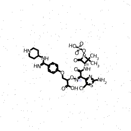 CC1(C)[C@H](NC(=O)/C(=N\OC(COc2ccc(C(=N)NC3CCNCC3)cc2)C(=O)O)c2nc(N)sc2Cl)C(=O)N1OS(=O)(=O)O